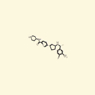 C[C@@H](NC1CC[C@H](c2ccc(C(=O)NC3CCNCC3)cc2)C1)c1ccc(F)c(C(F)(F)F)c1